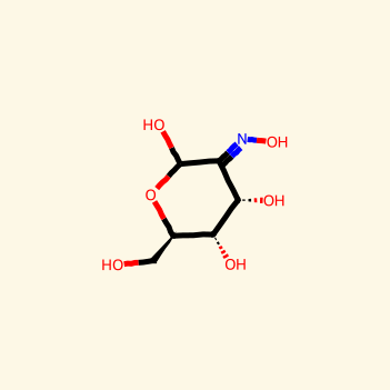 OC[C@H]1OC(O)C(=NO)[C@H](O)[C@@H]1O